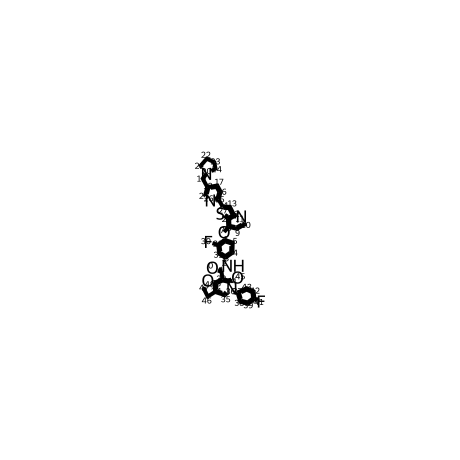 O=C(Nc1ccc(Oc2ccnc3cc(-c4ccc(CN5CCCC5)cn4)sc23)c(F)c1)c1c2c(cn(-c3ccc(F)cc3)c1=O)CCO2